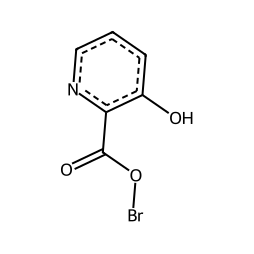 O=C(OBr)c1ncccc1O